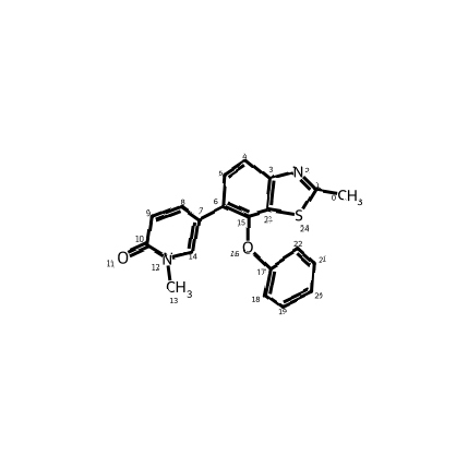 Cc1nc2ccc(-c3ccc(=O)n(C)c3)c(Oc3ccccc3)c2s1